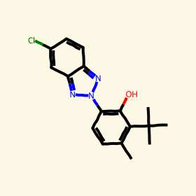 Cc1ccc(-n2nc3ccc(Cl)cc3n2)c(O)c1C(C)(C)C